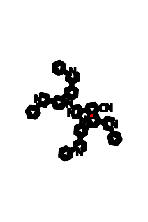 N#Cc1ccc(-c2cc(-n3c4ccc(-c5ccnc(-c6ccccc6)c5)cc4c4cc(-c5ccnc(-c6ccccc6)c5)ccc43)ncc2-n2c3ccc(-c4ccnc(-c5ccccc5)c4)cc3c3cc(-c4ccnc(-c5ccccc5)c4)ccc32)cc1